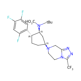 CC(C)(C)N(C(=O)O)[C@H]1C[C@@H](N2CCn3c(nnc3C(F)(F)F)C2)CC[C@@H]1c1cc(F)c(F)cc1F